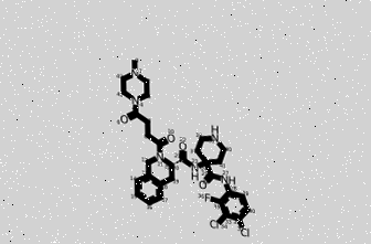 CN1CCN(C(=O)CCC(=O)N2Cc3ccccc3C[C@H]2C(=O)NC2(C(=O)Nc3ccc(Cl)c(Cl)c3F)CCNCC2)CC1